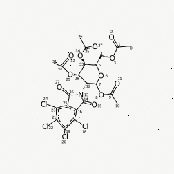 CC(=O)OC[C@H]1OC(OC(C)=O)[C@H](N2C(=O)c3c(Cl)c(Cl)c(Cl)c(Cl)c3C2=O)[C@@H](OC(C)=O)[C@H]1OC(C)=O